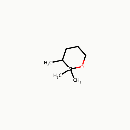 CC1CCCO[Si]1(C)C